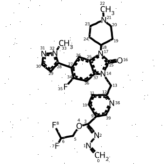 C=N/N=C(\OCC(F)F)c1ccc(Cn2c(=O)n(C3CCN(C)CC3)c3cc(-c4ccnn4C)c(F)cc32)nc1